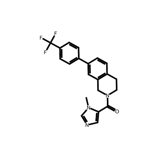 Cn1cncc1C(=O)N1CCc2ccc(-c3ccc(C(F)(F)F)cc3)cc2C1